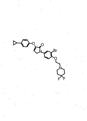 O=C1C(Oc2ccc(C3CC3)cc2)=CCN1c1ccc(OCCN2CCC(F)(F)CC2)c(Br)c1